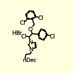 Br.CCCCCCCCCCCCN1C=CN(C(Cl)C(OCc2c(Cl)cccc2Cl)c2ccc(Cl)cc2)C1